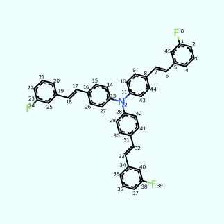 Fc1cccc(/C=C/c2ccc(N(c3ccc(/C=C/c4cccc(F)c4)cc3)c3ccc(/C=C/c4cccc(F)c4)cc3)cc2)c1